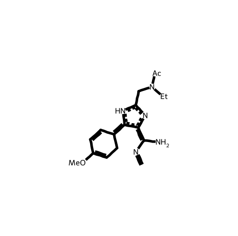 C=N/C(N)=c1/nc(CN(CC)C(C)=O)[nH]/c1=C1\C=CC(OC)=CC1